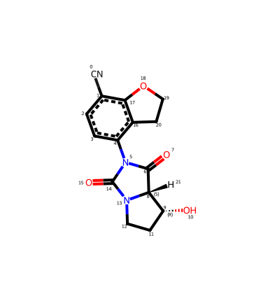 N#Cc1ccc(N2C(=O)[C@@H]3[C@H](O)CCN3C2=O)c2c1OCC2